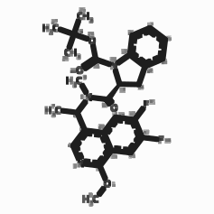 COc1ncc(C(C)N(C)C(=O)[C@@H]2Cc3ccccc3N2C(=O)OC(C)(C)C)c2cc(F)c(F)cc12